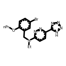 CCCOc1ccc(Br)cc1CN(CC)c1ccc(-c2nnn[nH]2)nn1